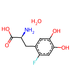 N[C@@H](Cc1cc(O)c(O)cc1F)C(=O)O.O